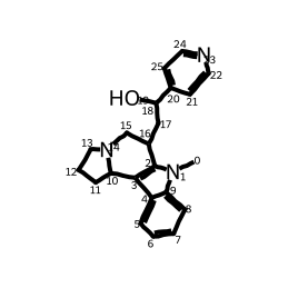 Cn1c2c(c3ccccc31)C1CCCN1CC2CC(O)c1ccncc1